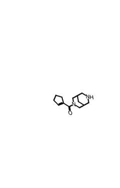 O=C(C1=CCCC1)N1CC2CNCC(C2)C1